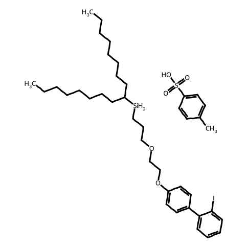 CCCCCCCCC(CCCCCCCC)[SiH2]CCCOCCOc1ccc(-c2ccccc2I)cc1.Cc1ccc(S(=O)(=O)O)cc1